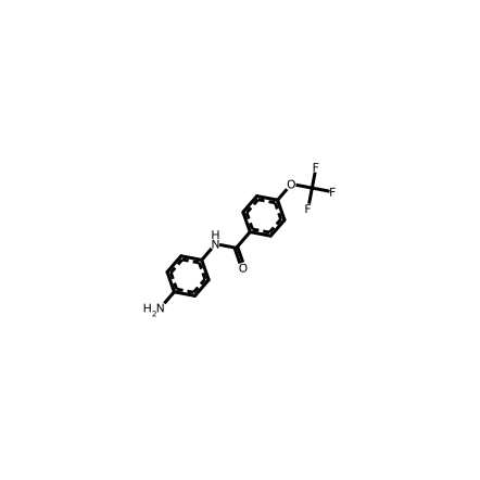 Nc1ccc(NC(=O)c2ccc(OC(F)(F)F)cc2)cc1